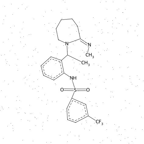 C/N=C1/CCCCCN1C(C)c1ccccc1NS(=O)(=O)c1cccc(C(F)(F)F)c1